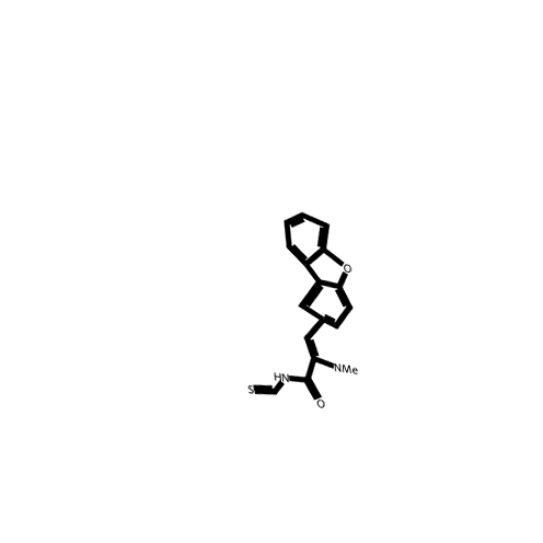 CN/C(=C\c1ccc2oc3ccccc3c2c1)C(=O)NC=S